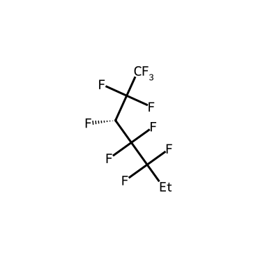 [CH2]CC(F)(F)C(F)(F)[C@H](F)C(F)(F)C(F)(F)F